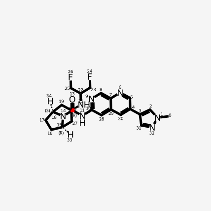 Cn1cc(-c2cnc3cnc(NC(=O)N4[C@@H]5CC[C@H]4C[C@@H](NC(CF)CF)C5)cc3c2)cn1